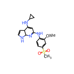 COc1cc(S(C)(=O)=O)ccc1NC1=NC2NC=CC2C(NC2CC2)=C1